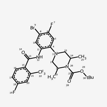 CC1CN(c2cc(F)c(Br)cc2NC(=O)c2ccc(F)cc2C(F)(F)F)CC(C)N1C(=O)OC(C)(C)C